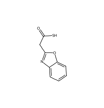 O=C(S)Cc1nc2ccccc2o1